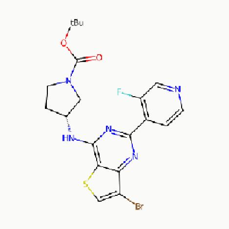 CC(C)(C)OC(=O)N1CC[C@@H](Nc2nc(-c3ccncc3F)nc3c(Br)csc23)C1